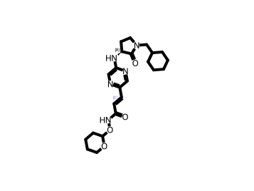 O=C(/C=C/c1cnc(N[C@@H]2CCN(CC3CCCCC3)C2=O)cn1)NOC1CCCCO1